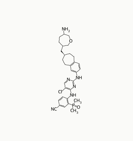 CP(C)(=O)c1cc(C#N)ccc1Nc1nc(Nc2ccc3c(c2)CC[C@@H](CC2CCC(N)COC2)CC3)ncc1Cl